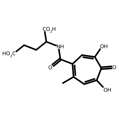 Cc1cc(O)c(=O)c(O)cc1C(=O)NC(CCC(=O)O)C(=O)O